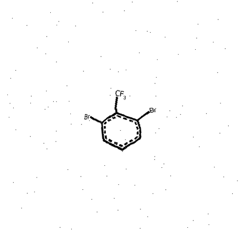 FC(F)(F)c1c(Br)c[c]cc1Br